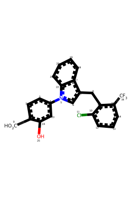 O=C(O)c1ccc(-n2cc(Cc3c(Cl)cccc3C(F)(F)F)c3ccccc32)cc1O